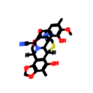 COc1c(C)cc2c(c1O)C1C3[C@@H]4SCC(N)C(=O)OC[C@@H](c5c6c(c(C)c(O)c54)OCO6)N3[C@@H](C#N)C(C2)N1C